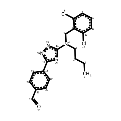 CCCCN(Cc1c(Cl)cccc1Cl)c1nnc(-c2ccc(C=O)cc2)s1